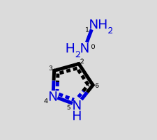 NN.c1cn[nH]c1